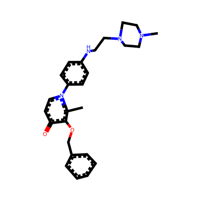 Cc1c(OCc2ccccc2)c(=O)ccn1-c1ccc(NCCN2CCN(C)CC2)cc1